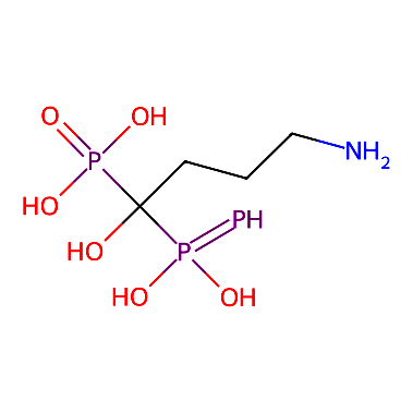 NCCCC(O)(P(=O)(O)O)P(O)(O)=P